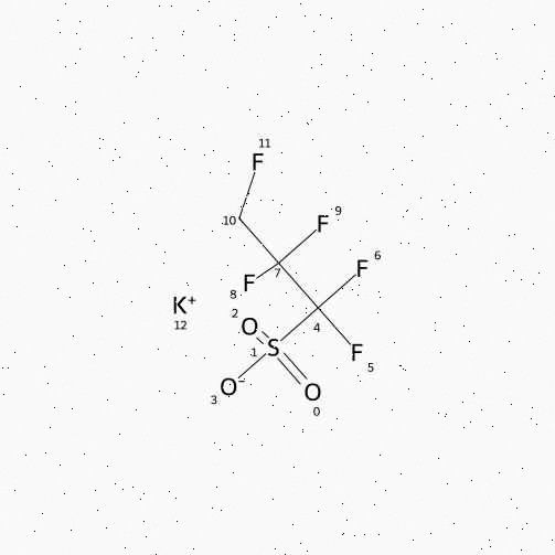 O=S(=O)([O-])C(F)(F)C(F)(F)CF.[K+]